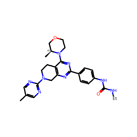 CCNC(=O)Nc1ccc(-c2nc3c(c(N4CCOC[C@@H]4C)n2)CCN(c2ncc(C)cn2)C3)cc1